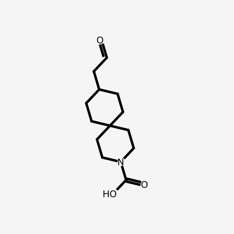 O=CCC1CCC2(CC1)CCN(C(=O)O)CC2